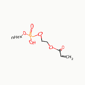 C=CC(=O)OCCOP(=O)(O)OCCCCCC